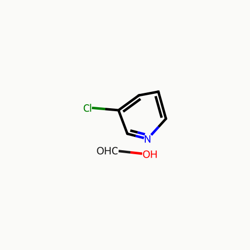 Clc1cccnc1.O=CO